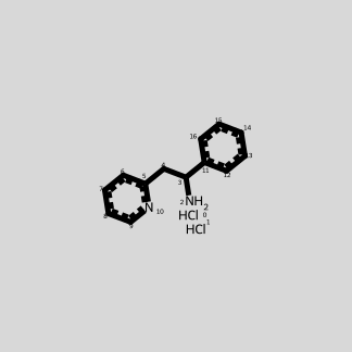 Cl.Cl.NC(Cc1ccccn1)c1ccccc1